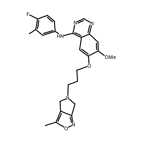 COc1cc2ncnc(Nc3ccc(F)c(C)c3)c2cc1OCCCN1Cc2noc(C)c2C1